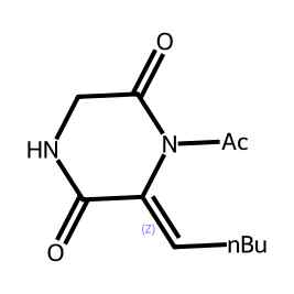 CCCC/C=C1/C(=O)NCC(=O)N1C(C)=O